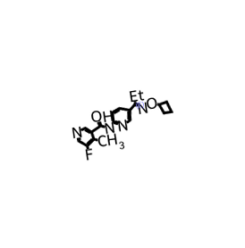 CC/C(=N\OC1CCC1)c1ccc(NC(=O)c2cncc(F)c2C)nc1